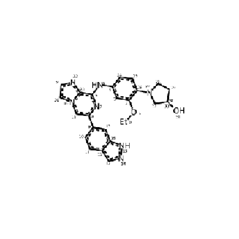 CCOc1cc(Nc2nc(-c3ccc4cn[nH]c4c3)cn3ccnc23)ccc1N1CC[C@@H](O)C1